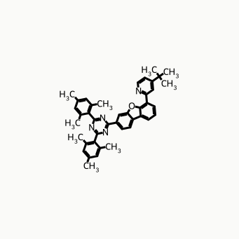 Cc1cc(C)c(-c2nc(-c3ccc4c(c3)oc3c(-c5cc(C(C)(C)C)ccn5)cccc34)nc(-c3c(C)cc(C)cc3C)n2)c(C)c1